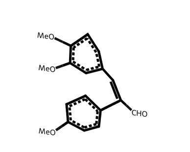 COc1ccc(/C(C=O)=C\c2ccc(OC)c(OC)c2)cc1